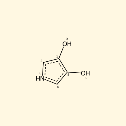 Oc1c[nH]cc1O